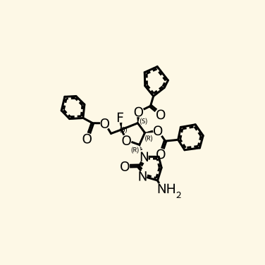 Nc1ccn([C@@H]2O[C@](F)(COC(=O)c3ccccc3)[C@@H](OC(=O)c3ccccc3)[C@H]2OC(=O)c2ccccc2)c(=O)n1